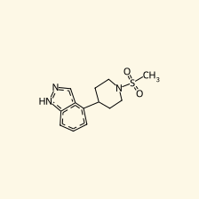 CS(=O)(=O)N1CCC(c2cccc3[nH]ncc23)CC1